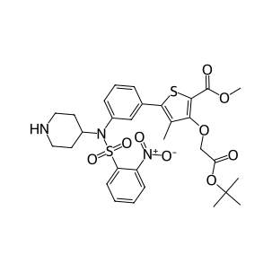 COC(=O)c1sc(-c2cccc(N(C3CCNCC3)S(=O)(=O)c3ccccc3[N+](=O)[O-])c2)c(C)c1OCC(=O)OC(C)(C)C